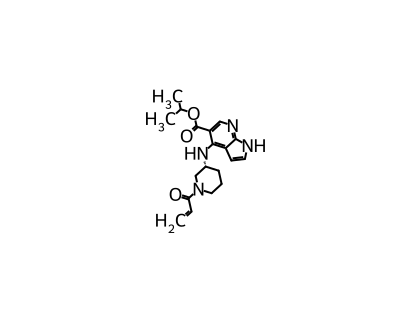 C=CC(=O)N1CCC[C@@H](Nc2c(C(=O)OC(C)C)cnc3[nH]ccc23)C1